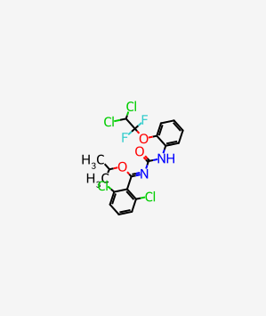 CC(C)OC(=NC(=O)Nc1ccccc1OC(F)(F)C(Cl)Cl)c1c(Cl)cccc1Cl